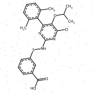 Cc1cccc(C)c1-c1nc(NSc2cccc(C(=O)O)c2)nc(Cl)c1OC(C)C